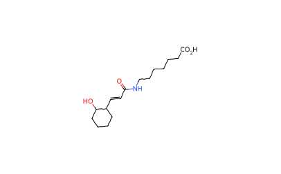 O=C(O)CCCCCCNC(=O)/C=C/C1CCCCC1O